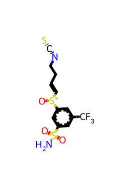 NS(=O)(=O)c1cc([S+]([O-])C=CCCN=C=S)cc(C(F)(F)F)c1